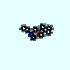 O=S1(=O)c2c(-c3c4ccccc4c(-c4cccc5ccccc45)c4ccccc34)cccc2-n2c(-c3ccc4ccccc4c3)nc3cccc1c32